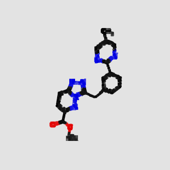 CCCCOC(=O)c1ccc2nnc(Cc3cccc(-c4ncc(C)cn4)c3)n2n1